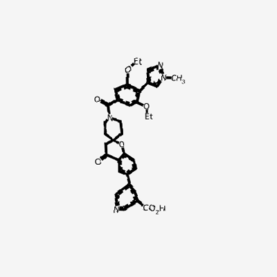 CCOc1cc(C(=O)N2CCC3(CC2)CC(=O)c2cc(-c4cncc(C(=O)O)c4)ccc2O3)cc(OCC)c1-c1cnn(C)c1